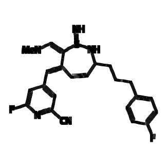 CN/C=C1\C(=C\c2cc(F)nc(C#N)c2)C=CC(CCCc2ccc(F)cc2)NS1=N